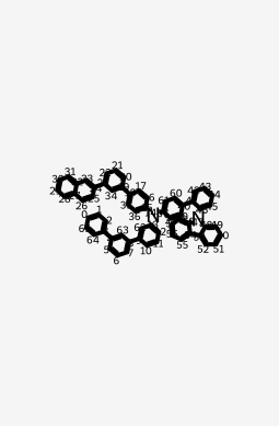 c1ccc(-c2cccc(-c3cccc(N(c4ccc(-c5cccc(-c6ccc7ccccc7c6)c5)cc4)c4ccc(-c5ccccc5-n5c6ccccc6c6ccccc65)cc4)c3)c2)cc1